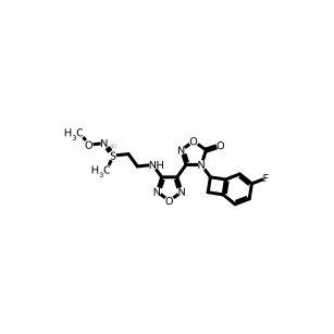 CO/N=S(\C)CCNc1nonc1-c1noc(=O)n1C1Cc2ccc(F)cc21